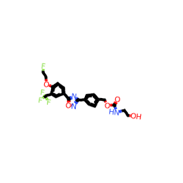 O=C(NCCO)OCc1ccc(-c2noc(-c3ccc(OCCF)c(C(F)(F)F)c3)n2)cc1